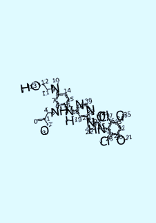 C=C(C=O)CNc1cc(N(C)CCO)ccc1Nc1cc(N(C)C(=O)Nc2c(Cl)c(OC)cc(OC)c2Cl)ncn1